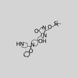 C[Si](C)(C)CCOCC1=C2N=CC(CC3(O)CCN(C(=O)[C@@H]4CCNC[C@H]4c4ccccc4)CC3)=C2C(=O)C=N1